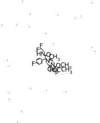 C[C@@H]1CN(C(=O)OC(C)(C)C)[C@@H](C)CN1C(C(=O)NCC(F)F)c1ccc(F)cc1